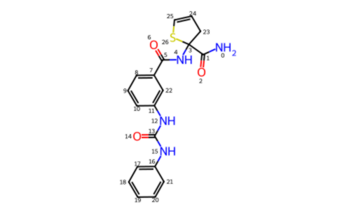 NC(=O)C1(NC(=O)c2cccc(NC(=O)Nc3ccccc3)c2)CC=CS1